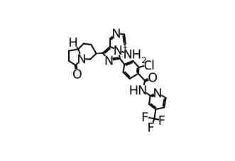 N[N+]12C=CN=CC1=C([C@@H]1CC[C@H]3CCC(=O)N3C1)N=C2c1ccc(C(=O)Nc2cc(C(F)(F)F)ccn2)c(Cl)c1